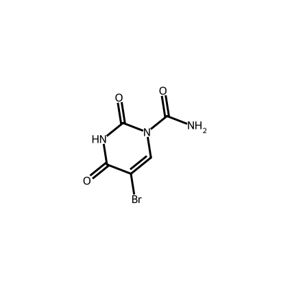 NC(=O)n1cc(Br)c(=O)[nH]c1=O